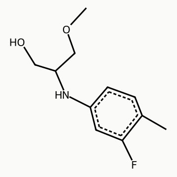 COCC(CO)Nc1ccc(C)c(F)c1